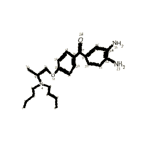 CCCCN(CCCC)C(C)COc1ccc(C(=O)c2ccc(N)c(N)c2)cc1